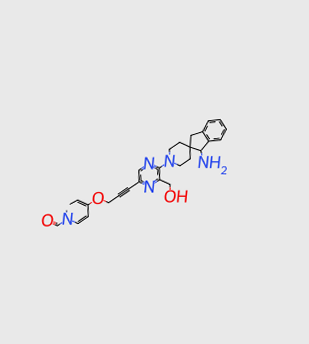 C/C=C(\C=C/N(C)C=O)OCC#Cc1cnc(N2CCC3(CC2)Cc2ccccc2C3N)c(CO)n1